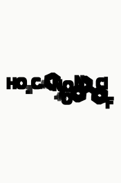 C[C@@H](Oc1ccc2c(-c3ccc(F)cc3Cl)ccnc2c1)C(=O)N1CCC[C@@H](CC(=O)O)C1